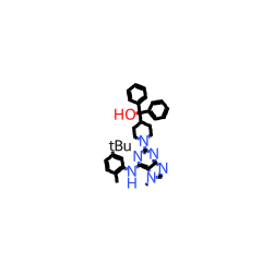 Cc1ccc(C(C)(C)C)cc1Nc1nc(N2CCC(C(O)(c3ccccc3)c3ccccc3)CC2)nc2ncn(C)c12